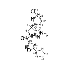 Cn1cc(C(C)(CNC(=O)c2cc(C3CCCC3)on2)c2cccc(Cl)n2)cn1